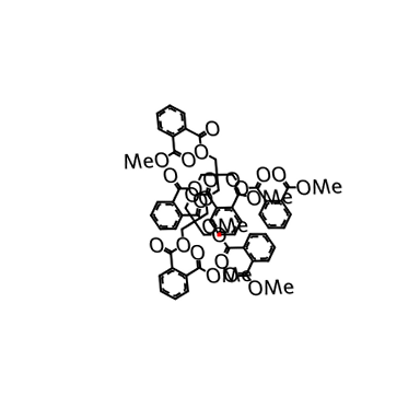 COC(=O)c1ccccc1C(=O)OCC(COCC(COC(=O)c1ccccc1C(=O)OC)(COC(=O)c1ccccc1C(=O)OC)COC(=O)c1ccccc1C(=O)OC)(COC(=O)c1ccccc1C(=O)OC)COC(=O)c1ccccc1C(=O)OC